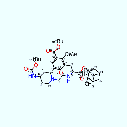 COc1c(CC(NC(=O)CN2CCC(NC(=O)OC(C)(C)C)CC2)B2OC3CC4CC(C4(C)C)C3(C)O2)cccc1C(=O)OC(C)(C)C